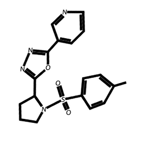 Cc1ccc(S(=O)(=O)N2CCCC2c2nnc(-c3cccnc3)o2)cc1